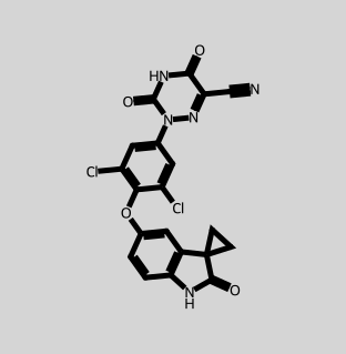 N#Cc1nn(-c2cc(Cl)c(Oc3ccc4c(c3)C3(CC3)C(=O)N4)c(Cl)c2)c(=O)[nH]c1=O